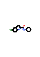 O=C(NC1CCCCC1)c1ccc2cc(Cl)ccc2n1